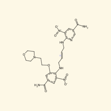 NC(=O)c1cnc(NC/C=C/CNc2c(OCCN3CCOCC3)cc(C(N)=O)cc2[N+](=O)[O-])c([N+](=O)[O-])c1